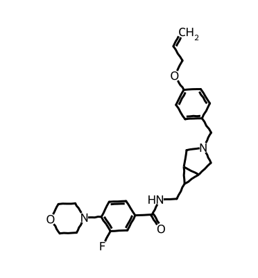 C=CCOc1ccc(CN2CC3C(CNC(=O)c4ccc(N5CCOCC5)c(F)c4)C3C2)cc1